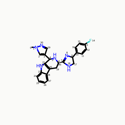 Cn1cc(C2N[C@@H](C3=NC(c4ccc(F)cc4)CN3)Cc3c2[nH]c2ccccc32)cn1